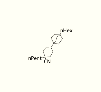 CCCCCCC12CCC([C@H]3CC[C@@](C#N)(CCCCC)CC3)(CC1)CC2